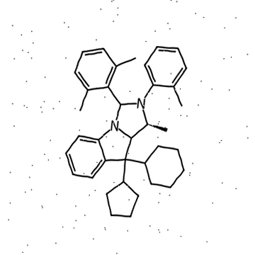 Cc1ccccc1N1C(c2c(C)cccc2C)N2c3ccccc3C(C3CCCCC3)(C3CCCC3)C2[C@@H]1C